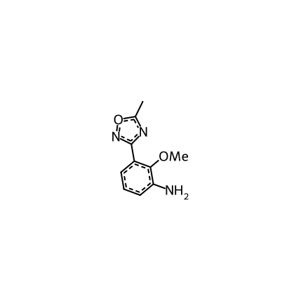 COc1c(N)cccc1-c1noc(C)n1